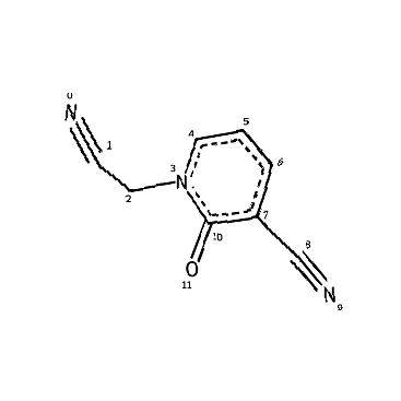 N#CCn1cccc(C#N)c1=O